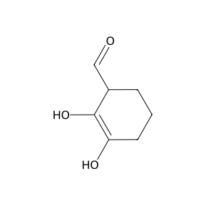 O=CC1CCCC(O)=C1O